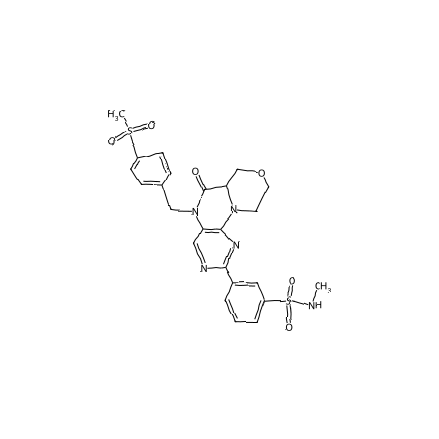 CNS(=O)(=O)c1cccc(-c2ncc3c(n2)N2CCOCC2C(=O)N3Cc2ccc(S(C)(=O)=O)cc2)c1